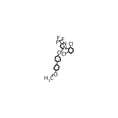 CCOc1ccc(-c2ccc(OCc3cc(C(F)(F)F)nn3-c3c(Cl)cccc3Cl)cc2)cc1